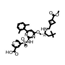 COC(=O)C12CC(CN[C@@H](COc3cc(-c4c(C)cccc4C)nc(NS(=O)(=O)c4cccc(C(=O)O)c4)n3)CC(C)(C)C)(C1)C2